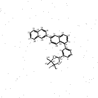 CC1(C)OB(c2cccc(-c3cccc4cc(-c5ccc6ccccc6c5)ccc34)c2)OC1(C)C